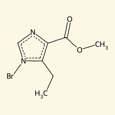 CCc1c(C(=O)OC)ncn1Br